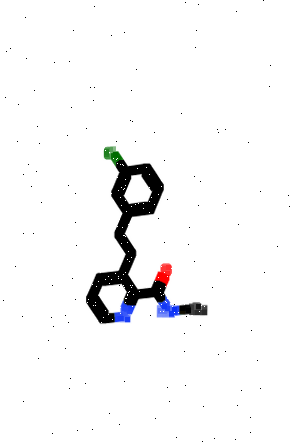 CC(C)(C)NC(=O)c1ncccc1CCc1cccc(Cl)c1